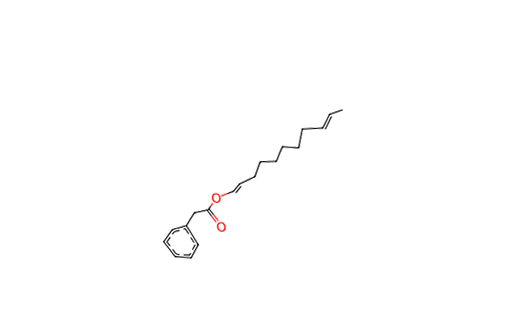 CC=CCCCCCCC=COC(=O)Cc1ccccc1